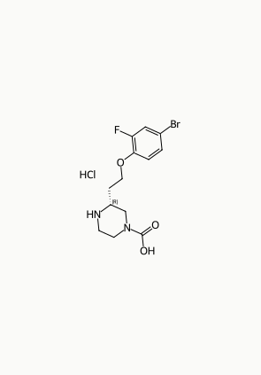 Cl.O=C(O)N1CCN[C@H](CCOc2ccc(Br)cc2F)C1